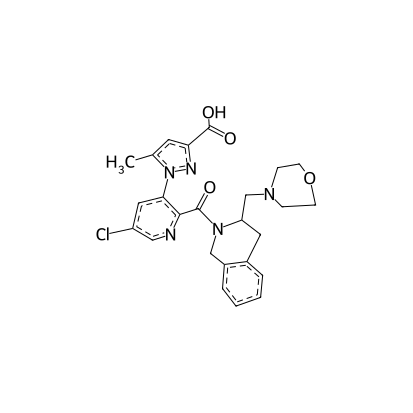 Cc1cc(C(=O)O)nn1-c1cc(Cl)cnc1C(=O)N1Cc2ccccc2CC1CN1CCOCC1